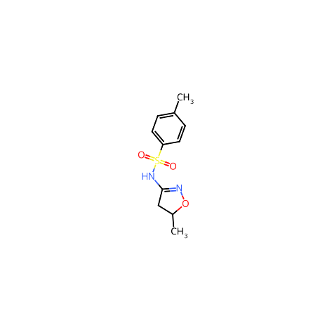 Cc1ccc(S(=O)(=O)NC2=NOC(C)C2)cc1